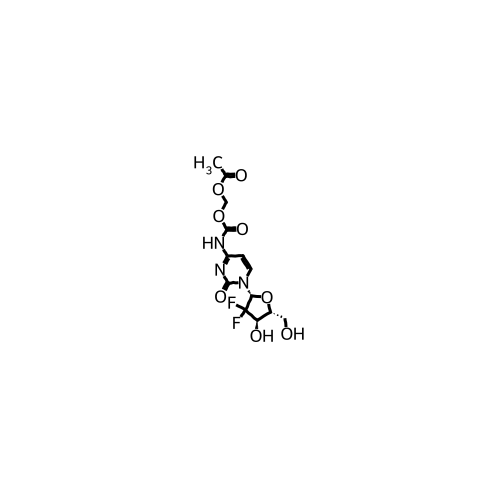 CC(=O)OCOC(=O)Nc1ccn([C@@H]2O[C@H](CO)[C@@H](O)C2(F)F)c(=O)n1